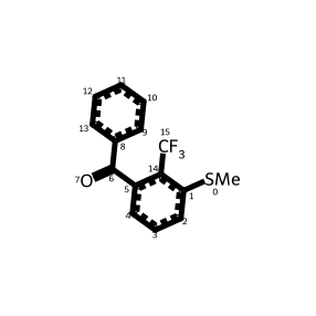 CSc1cccc(C(=O)c2ccccc2)c1C(F)(F)F